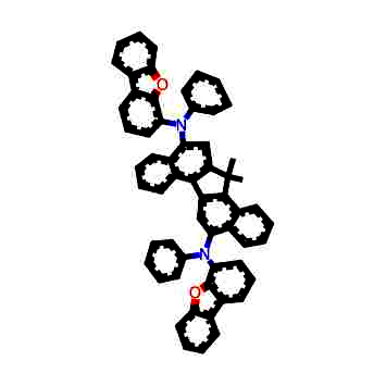 CC1(C)c2cc(N(c3ccccc3)c3cccc4c3oc3ccccc34)c3ccccc3c2-c2cc(N(c3ccccc3)c3cccc4c3oc3ccccc34)c3ccccc3c21